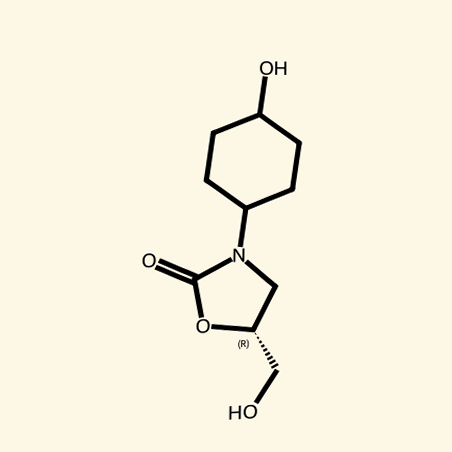 O=C1O[C@@H](CO)CN1C1CCC(O)CC1